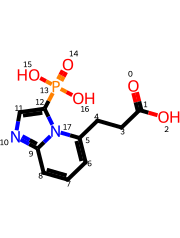 O=C(O)CCc1cccc2ncc(P(=O)(O)O)n12